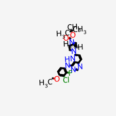 CCOc1ccc(Nc2ncnc3ccc(N4C[C@@H]5C[C@H]4CN5C(=O)OC(C)(C)C)nc23)c(F)c1Cl